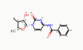 CC[C@H]1O[C@@H](n2ccc(NC(=O)c3ccccc3)nc2=O)[C@@H](O)C1C